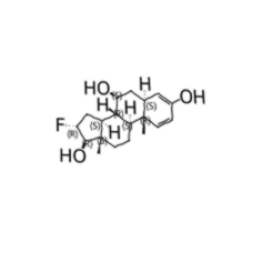 C[C@]12C=CC(O)=C[C@@H]1C[C@H](O)[C@@H]1[C@@H]2CC[C@]2(C)[C@@H](O)[C@H](F)C[C@@H]12